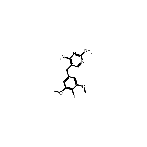 COc1cc(Cc2cnc(N)nc2N)cc(OC)c1I